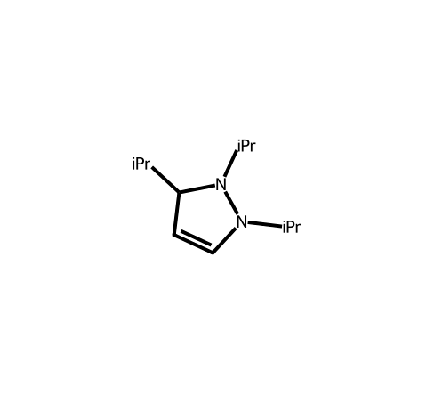 CC(C)C1C=CN(C(C)C)N1C(C)C